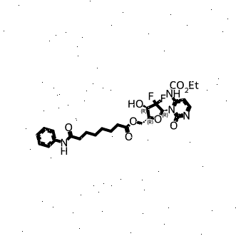 CCOC(=O)Nc1ccnc(=O)n1[C@@H]1O[C@H](COC(=O)CCCCCCC(=O)Nc2ccccc2)[C@@H](O)C1(F)F